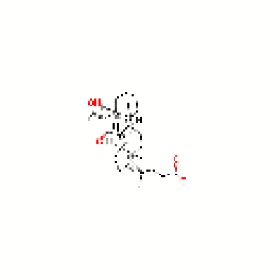 CC(O)=C1C(=O)[C@@H]2[C@H](CC[C@]3(C)[C@@H](C(C)CCC(=O)O)CC[C@@H]23)[C@@]2(C)CCCC[C@@H]12